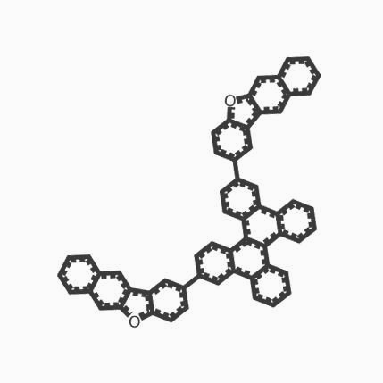 c1ccc2cc3c(cc2c1)oc1ccc(-c2ccc4c(c2)c2ccccc2c2c5ccccc5c5cc(-c6ccc7oc8cc9ccccc9cc8c7c6)ccc5c42)cc13